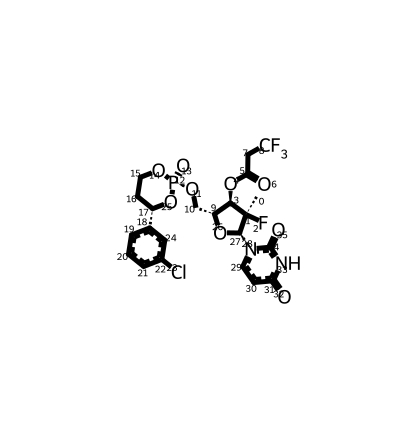 C[C@@]1(F)[C@H](OC(=O)CC(F)(F)F)[C@@H](CO[P@@]2(=O)OCC[C@@H](c3cccc(Cl)c3)O2)O[C@H]1n1ccc(=O)[nH]c1=O